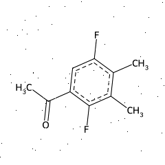 CC(=O)c1cc(F)c(C)c(C)c1F